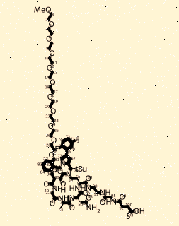 COCCOCCOCCOCCOCCOCCOCCOCCOCCOCCOCCOCCC(=O)N[C@@H](C)C(=O)N[C@H](C)C(=O)N[C@@H](CC(N)=O)C(=O)N[C@@H](CCN(C(=O)CO)[C@@H](c1cc(-c2cc(F)ccc2F)cn1Cc1ccccc1)C(C)(C)C)C(=O)NCCNC(=O)CNC(=O)CCC(O)=S